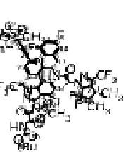 C[C@@H]1c2c(C(F)(F)F)nn(CC(=O)N[C@@H](Cc3cc(F)cc(F)c3)c3nc(C#CC(C)(C)S(C)(=O)=O)ccc3-c3ccc(Cl)c4c(N(C(=O)C(=O)NC(=O)OC(C)(C)C)S(C)(=O)=O)nn(CC(F)(F)F)c34)c2C(F)(F)[C@@H]1C